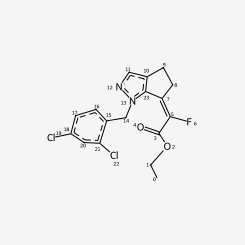 CCOC(=O)C(F)=C1CCc2cnn(Cc3ccc(Cl)cc3Cl)c21